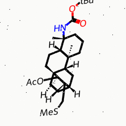 CSC[C@H]1[C@H]2CC[C@@]3(CC[C@H]4[C@@](C)(CCC[C@@]4(C)NC(=O)OC(C)(C)C)[C@@H]3C2)[C@@H]1OC(C)=O